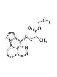 CCOC(=O)C(C)ON=c1c2nccc3cccc(c32)n2cccc12